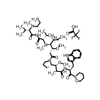 CC[C@H](C)[C@@H]([C@@H](CC(=O)N1CCC[C@H]1[C@H](OC)[C@@H](C)C(=O)N[C@@H](Cc1c[nH]c2ccccc12)C(=O)N1CCCCO1)OC)N(C)[C@H](C(=O)NC(=O)[C@H](C(C)C)N(C)CCN)C(C)C.O=C(O)C(F)(F)F